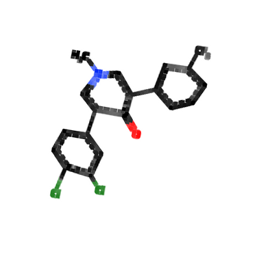 Cn1cc(-c2cccc(C(F)(F)F)c2)c(=O)c(-c2ccc(Cl)c(Cl)c2)c1